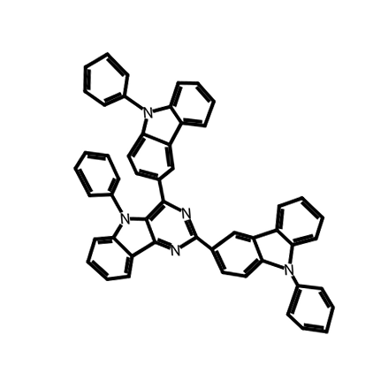 c1ccc(-n2c3ccccc3c3cc(-c4nc(-c5ccc6c(c5)c5ccccc5n6-c5ccccc5)c5c(n4)c4ccccc4n5-c4ccccc4)ccc32)cc1